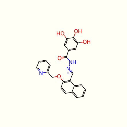 O=C(N/N=C/c1c(OCc2ccccn2)ccc2ccccc12)c1cc(O)c(O)c(O)c1